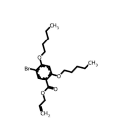 C=CCOC(=O)c1cc(Br)c(OCCCCC)cc1OCCCCC